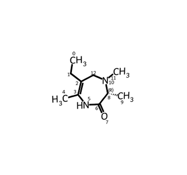 CCC1=C(C)NC(=O)[C@@H](C)N(C)C1